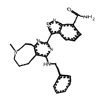 CN1CCCc2c(nc(-c3snc4c(C(N)=O)cccc34)nc2NCc2ccccc2)C1